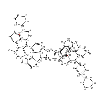 Cc1cc(C)c(-c2ccccc2)c(N(c2ccc(C3CCCCC3)cc2)c2ccc3c4cc5c(cc4n4c6ccccc6c2c34)c2ccc(N(c3ccc(C4CCCCC4)cc3)c3cc(C)cc(C)c3-c3ccccc3)c3c4ccccc4n5c23)c1